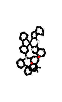 CC1(C)c2ccccc2-c2c(N(c3ccc4c(c3)C3(c5ccccc5-4)c4ccc5ccccc5c4Oc4c3ccc3ccccc43)c3ccccc3-c3ccccc3)cccc21